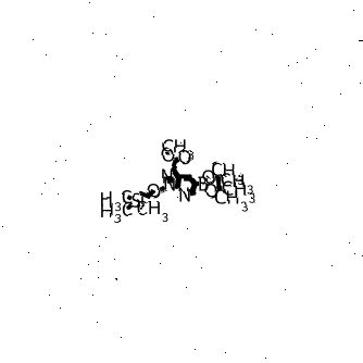 COC(=O)c1nn(COCC[Si](C)(C)C)c2ncc(B3OC(C)(C)C(C)(C)O3)cc12